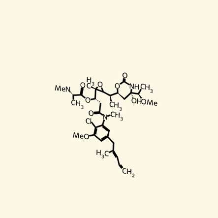 C=C/C=C(\C)Cc1cc(OC)c(Cl)c(N(C)C(=O)C[C@H](OC(=O)[C@H](C)NC)[C@]2(C)OC2[C@H](C)[C@@H]2C[C@](O)([C@@H](C)OC)NC(=O)O2)c1